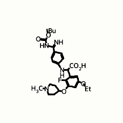 CCOc1cc(OC2CCN(C)CC2)c(F)c(C(Nc2ccc(C(=N)NC(=O)OC(C)(C)C)cc2)C(=O)O)c1